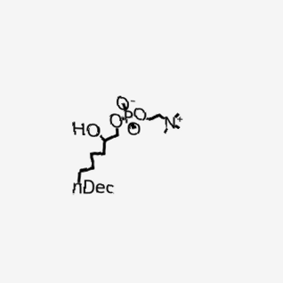 CCCCCCCCCCCCCCC(O)COP(=O)([O-])OCC[N+](C)(C)C